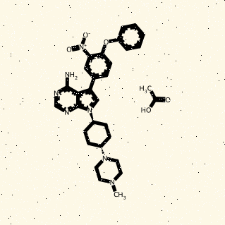 CC(=O)O.CN1CCN([C@H]2CC[C@H](n3cc(-c4ccc(Oc5ccccc5)c([N+](=O)[O-])c4)c4c(N)ncnc43)CC2)CC1